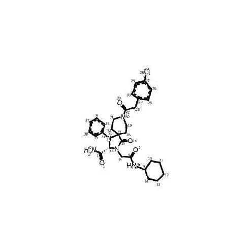 NC(=O)[C@H]1N(CC(=O)NC2CCCCC2)C(=O)C2(CCN(C(=O)[CH]c3ccc(Cl)cc3)CC2)N1c1ccccc1